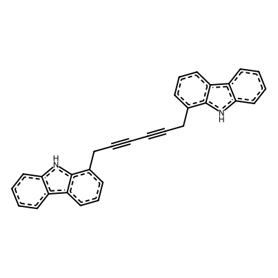 C(C#CCc1cccc2c1[nH]c1ccccc12)#CCc1cccc2c1[nH]c1ccccc12